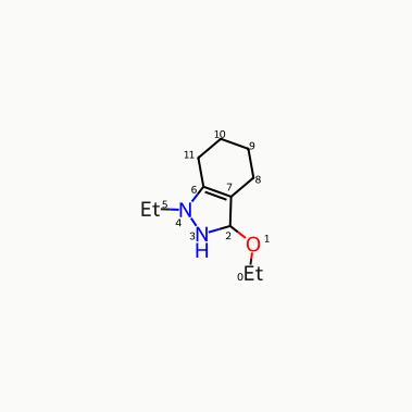 CCOC1NN(CC)C2=C1CCCC2